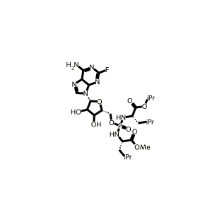 COC(=O)[C@H](CC(C)C)NP(=O)(N[C@@H](CC(C)C)C(=O)OC(C)C)OC[C@H]1O[C@@H](N2C=NC3C(N)=NC(F)=NC32)C(O)C1O